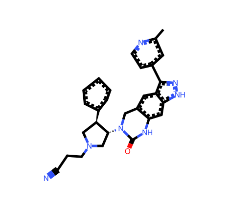 Cc1cc(-c2n[nH]c3cc4c(cc23)CN([C@@H]2CN(CCC#N)C[C@H]2c2ccccc2)C(=O)N4)ccn1